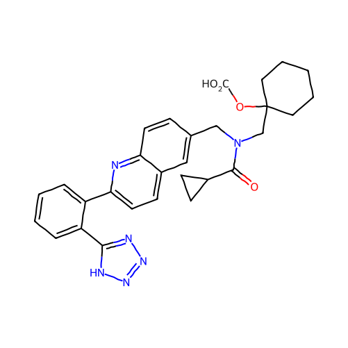 O=C(O)OC1(CN(Cc2ccc3nc(-c4ccccc4-c4nnn[nH]4)ccc3c2)C(=O)C2CC2)CCCCC1